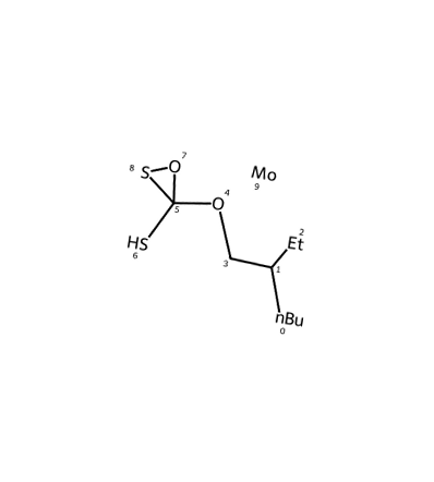 CCCCC(CC)COC1(S)OS1.[Mo]